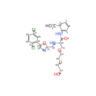 O=C(O)c1ccccc1NC(=O)C(COCCOCCO)NCc1ncc(-c2cc(Cl)ccc2Cl)o1